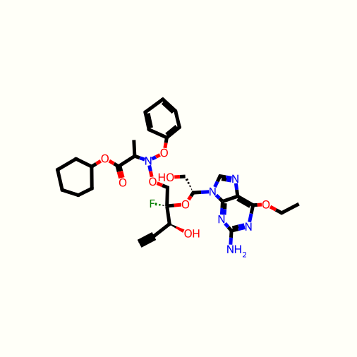 C#C[C@H](O)[C@@](F)(CON(Oc1ccccc1)C(C)C(=O)OC1CCCCC1)O[C@H](CO)n1cnc2c(OCC)nc(N)nc21